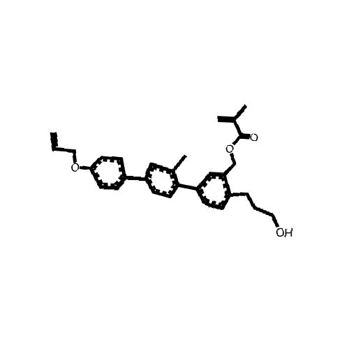 C=CCOc1ccc(-c2ccc(-c3ccc(CCCO)c(COC(=O)C(=C)C)c3)c(C)c2)cc1